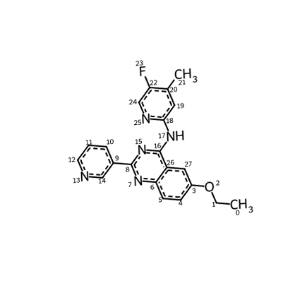 CCOc1ccc2nc(-c3cccnc3)nc(Nc3cc(C)c(F)cn3)c2c1